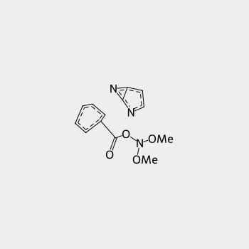 CON(OC)OC(=O)c1ccccc1.c1cc2nc-2n1